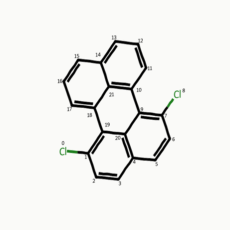 Clc1ccc2ccc(Cl)c3c4cccc5cccc(c1c23)c54